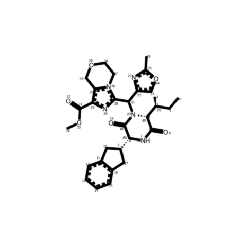 CC[C@H](C)[C@@H]1C(=O)N[C@H](C2Cc3ccccc3C2)C(=O)N1C(c1coc(C)n1)c1nc(C(=O)OC)c2n1CCOC2